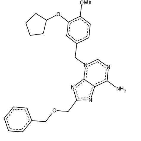 COc1ccc(Cn2cnc(N)c3nc(COCc4ccccc4)nc2-3)cc1OC1CCCC1